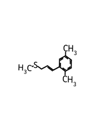 CSC/C=C/c1cc(C)ccc1C